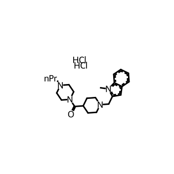 CCCN1CCN(C(=O)C2CCN(Cc3cc4ccccc4n3C)CC2)CC1.Cl.Cl